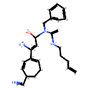 C=CCCCNC(=C)N(Cc1ccccc1)C(O)/C=C(\N)C1=CCCC(C=N)C=C1